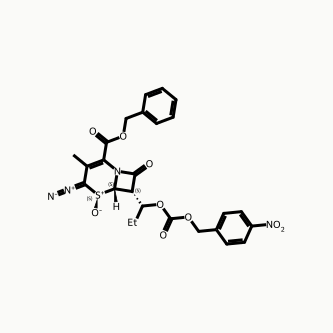 CCC(OC(=O)OCc1ccc([N+](=O)[O-])cc1)[C@H]1C(=O)N2C(C(=O)OCc3ccccc3)=C(C)C(=[N+]=[N-])[S@+]([O-])[C@@H]12